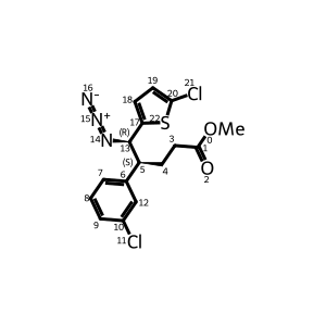 COC(=O)CC[C@@H](c1cccc(Cl)c1)[C@@H](N=[N+]=[N-])c1ccc(Cl)s1